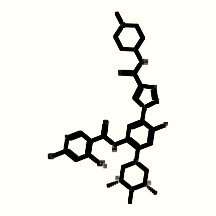 C[C@@H]1CN(c2cc(F)c(-n3cc(C(=O)NC4CCN(C)CC4)nn3)cc2NC(=O)c2cnc(Cl)cc2C(F)(F)F)C[C@H](C)N1C